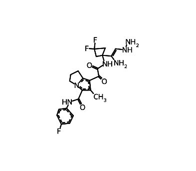 Cc1c(C(=O)C(=O)NC2(/C(N)=C/NN)CC(F)(F)C2)c2n(c1C(=O)Nc1ccc(F)cc1)CCC2